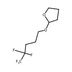 FC(F)(F)C(F)(F)CCCOC1CCCO1